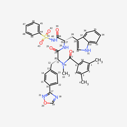 Cc1cc(C)cc(C(=O)N(C)[C@H](Cc2ccc(-c3ncon3)cc2)C(=O)N[C@@H](Cc2c[nH]c3ccccc23)C(=O)NS(=O)(=O)c2ccccc2)c1